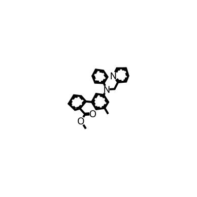 COC(=O)c1ccccc1-c1cc(C)cc(N(Cc2ccccn2)c2ccccc2)c1